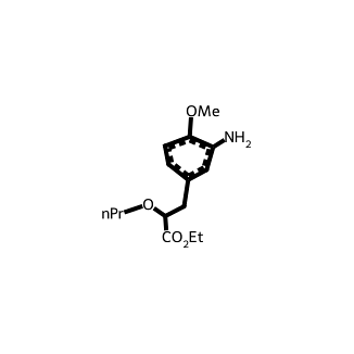 CCCOC(Cc1ccc(OC)c(N)c1)C(=O)OCC